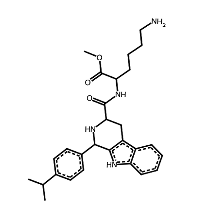 COC(=O)C(CCCCN)NC(=O)C1Cc2c([nH]c3ccccc23)C(c2ccc(C(C)C)cc2)N1